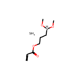 C=CC(=O)OCCC[SiH](OC)OC.[SiH4]